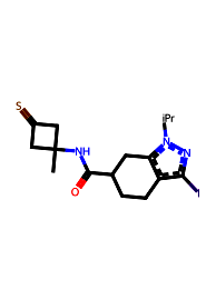 CC(C)n1nc(I)c2c1CC(C(=O)NC1(C)CC(=S)C1)CC2